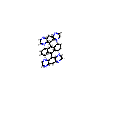 c1ccc2c(-c3c4nccnc4cc4nccnc34)c3ccccc3c(-c3c4nccnc4cc4nccnc34)c2c1